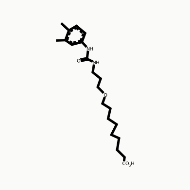 Cc1ccc(NC(=O)NCCCOCCCCCCCCC(=O)O)cc1C